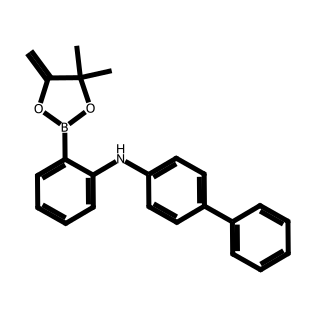 C=C1OB(c2ccccc2Nc2ccc(-c3ccccc3)cc2)OC1(C)C